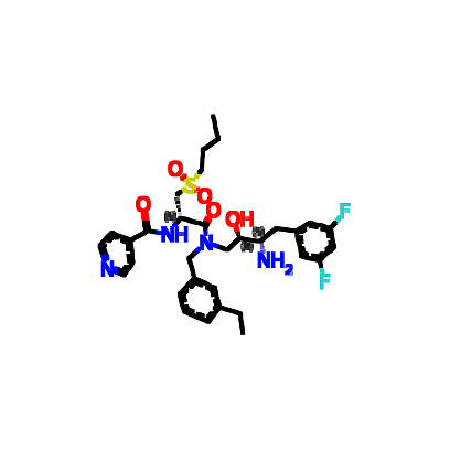 CCCCS(=O)(=O)C[C@@H](NC(=O)c1ccncc1)C(=O)N(Cc1cccc(CC)c1)C[C@@H](O)[C@@H](N)Cc1cc(F)cc(F)c1